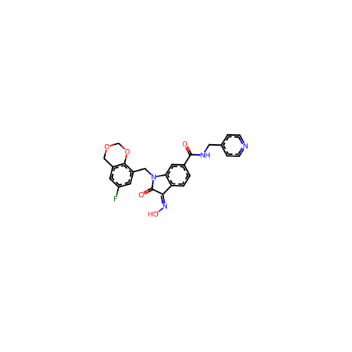 O=C(NCc1ccncc1)c1ccc2c(c1)N(Cc1cc(F)cc3c1OCOC3)C(=O)/C2=N\O